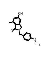 Cc1cc(C#N)cc2c1C(=O)N(Cc1ccc(OC(F)(F)F)cc1)C2